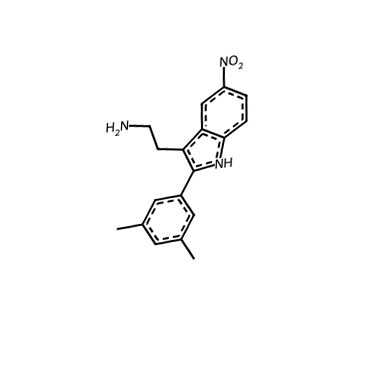 Cc1cc(C)cc(-c2[nH]c3ccc([N+](=O)[O-])cc3c2CCN)c1